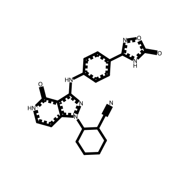 N#CC1CCCCC1n1nc(Nc2ccc(-c3noc(=O)[nH]3)cc2)c2c(=O)[nH]ccc21